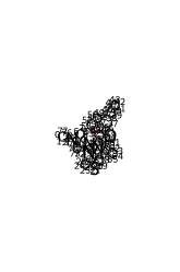 c1ccc(-n2c3ccccc3c3c(-c4nc(-c5cccc6sc7ccccc7c56)nc(-c5ccc(C6CCc7cc8ccccc8cc7-c7ccc8ccccc8c76)c6oc7cc8ccccc8cc7c56)n4)cccc32)cc1